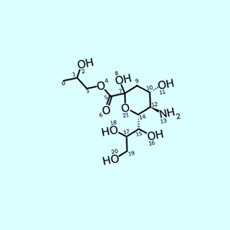 CC(O)COC(=O)C1(O)C[C@H](O)[C@@H](N)[C@H](C(O)C(O)CO)O1